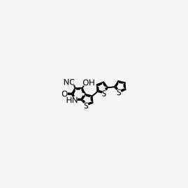 N#Cc1c(O)c2c(-c3ccc(-c4cccs4)s3)csc2[nH]c1=O